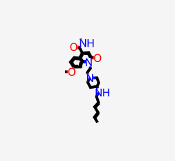 CC=CC=CCNC1CCN(CCn2c(=O)cc(C(=O)NC)c3ccc(OC)cc32)CC1